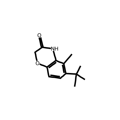 Cc1c(C(C)(C)C)ccc2c1NC(=O)CO2